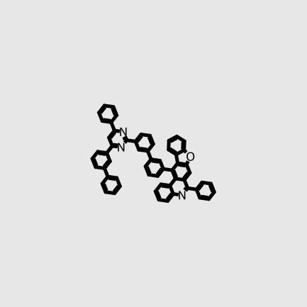 c1ccc(-c2cccc(-c3cc(-c4ccccc4)nc(-c4cccc(-c5cccc(-c6c7c(cc8c(-c9ccccc9)nc9ccccc9c68)oc6ccccc67)c5)c4)n3)c2)cc1